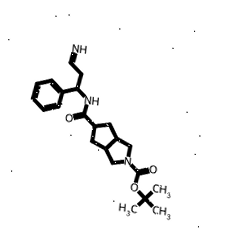 CC(C)(C)OC(=O)N1CC2CC(C(=O)NC(CC=N)c3ccccc3)CC2C1